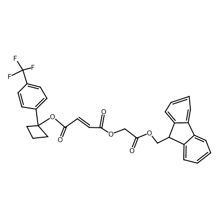 O=C(/C=C/C(=O)OC1(c2ccc(C(F)(F)F)cc2)CCC1)OCC(=O)OCC1c2ccccc2-c2ccccc21